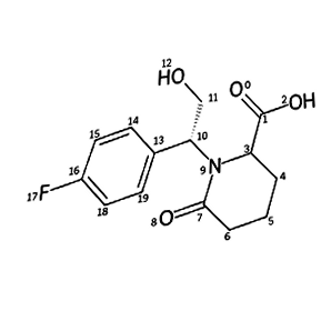 O=C(O)C1CCCC(=O)N1[C@@H](CO)c1ccc(F)cc1